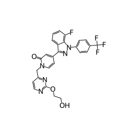 O=c1cc(-c2nn(-c3ccc(C(F)(F)F)cc3)c3c(F)cccc23)ccn1Cc1ccnc(OCCO)n1